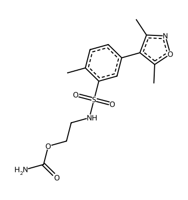 Cc1ccc(-c2c(C)noc2C)cc1S(=O)(=O)NCCOC(N)=O